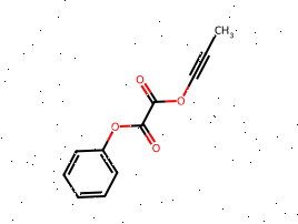 CC#COC(=O)C(=O)Oc1ccccc1